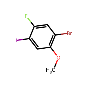 COc1cc(I)c(F)cc1Br